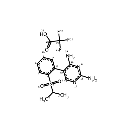 CC(C)S(=O)(=O)c1ccccc1-c1cnc(N)nc1N.O=C(O)C(F)(F)F